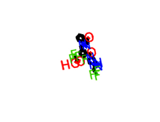 O=C(O)C(F)(F)F.O=C(c1cc(Cn2ncc(=O)c3ccccc32)ccc1F)N1CCn2c(nnc2CC(F)(F)F)C1